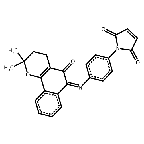 CC1(C)CCC2=C(O1)c1ccccc1C(=Nc1ccc(N3C(=O)C=CC3=O)cc1)C2=O